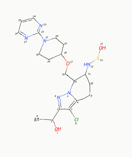 CCC(O)c1nn2c(c1Cl)CCC(NSO)C2COC1CCN(c2ncccn2)CC1